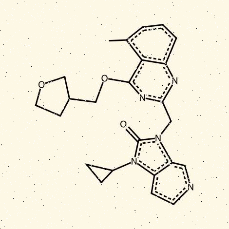 Cc1cccc2nc(Cn3c(=O)n(C4CC4)c4ccncc43)nc(OCC3CCOC3)c12